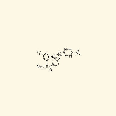 CO[C@H](C(=O)N1CCN2C[C@H](Oc3cnc(C4CC4)cn3)C[C@H]2C1)c1cccc(C(F)(F)F)c1